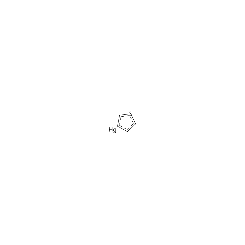 [Hg].c1ccsc1